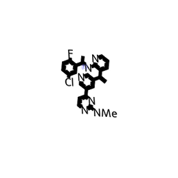 C=C(c1cncc(-c2ccnc(NC)n2)c1)c1cccnc1/N=C(\C)c1cc(Cl)ccc1F